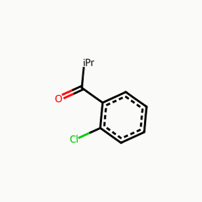 CC(C)C(=O)c1ccccc1Cl